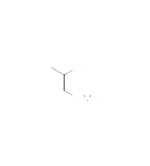 COCC(C)[O]